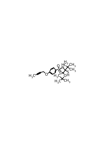 CC#CCOc1ccc(S(=O)(=O)NC(S)(C(=O)OC(C)(C)C)C(C)(C)C)cc1